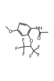 COc1ccc(NC(C)=O)c(OC(C(F)(F)F)C(F)(F)F)c1